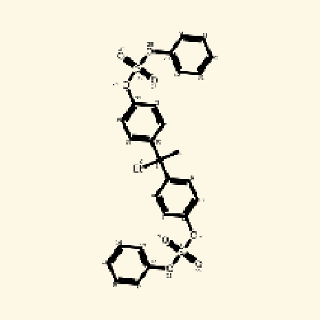 CCC(C)(c1ccc(OS(=O)(=O)Oc2ccccc2)cc1)c1ccc(OS(=O)(=O)Oc2ccccc2)cc1